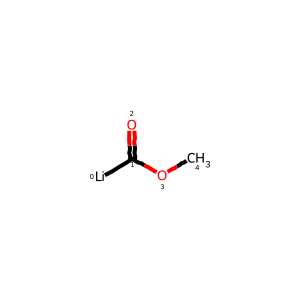 [Li][C](=O)OC